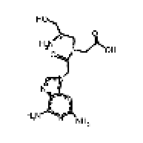 Nc1nc(N)c2ncn(CC(=O)N(CC(=O)O)C[C@@H](N)CO)c2n1